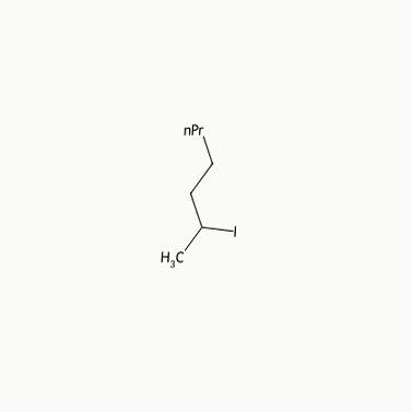 CCCCCC(C)I